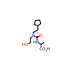 C[C@H](NC(=O)N(CCO)CCC1CCCC1)C(=O)O